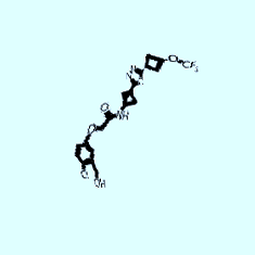 O=C(COc1ccc(Cl)c(CO)c1)NC12CC(c3nnc([C@H]4C[C@@H](OC(F)(F)F)C4)o3)(C1)C2